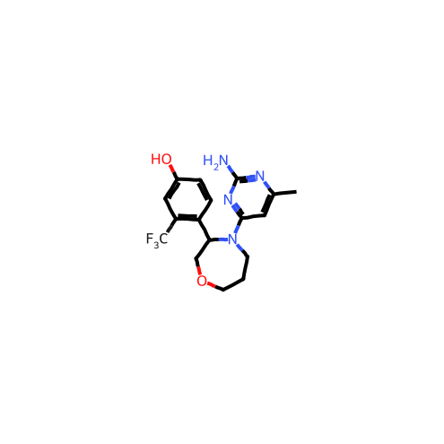 Cc1cc(N2CCCOCC2c2ccc(O)cc2C(F)(F)F)nc(N)n1